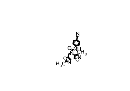 Cc1ncc(CN(C(=O)Nc2ccc(C#N)cc2)c2conc2C)o1